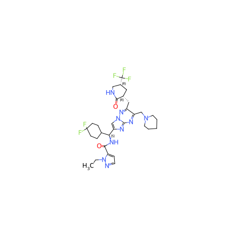 CCn1nccc1C(=O)N[C@H](c1cn2nc(C[C@H]3C[C@@H](C(F)(F)F)CNC3=O)c(CN3CCCCC3)nc2n1)C1CCC(F)(F)CC1